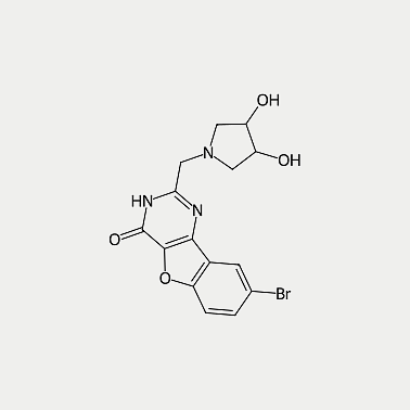 O=c1[nH]c(CN2CC(O)C(O)C2)nc2c1oc1ccc(Br)cc12